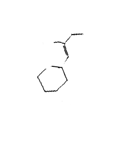 CC/C(C)=C/[C@H]1C[C@H](C)CCO1